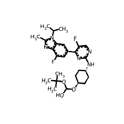 Cc1nc2c(F)cc(-c3nc(N[C@H]4CC[C@H](OC(O)OC(C)(C)C)CC4)ncc3F)cc2n1C(C)C